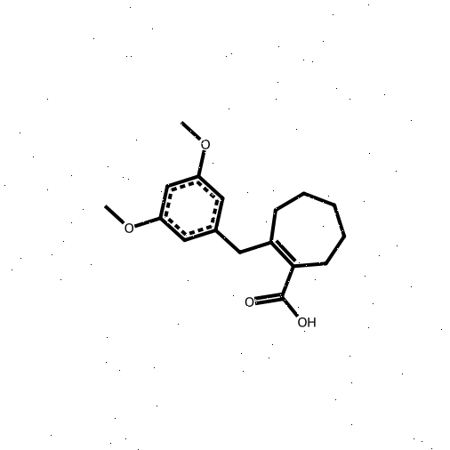 COc1cc(CC2=C(C(=O)O)CCCCC2)cc(OC)c1